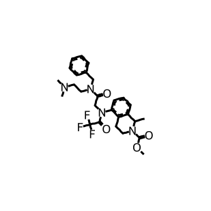 COC(=O)N1CCc2c(cccc2N(CC(=O)N(CCN(C)C)Cc2ccccc2)C(=O)C(F)(F)F)C1C